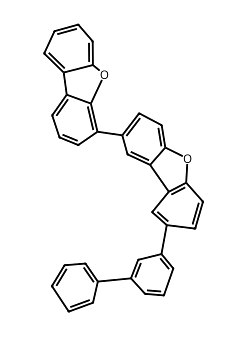 c1ccc(-c2cccc(-c3ccc4oc5ccc(-c6cccc7c6oc6ccccc67)cc5c4c3)c2)cc1